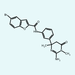 CN1C(=O)CC(C)(c2cccc(NC(=O)c3cc4cc(Br)ccc4o3)c2)N=C1N